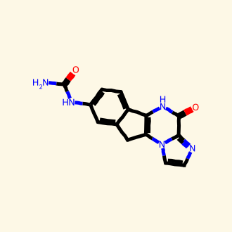 NC(=O)Nc1ccc2c(c1)Cc1c-2[nH]c(=O)c2nccn12